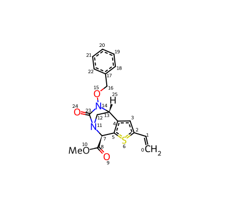 C=Cc1cc2c(s1)[C@@H](C(=O)OC)N1C[C@@H]2N(OCc2ccccc2)C1=O